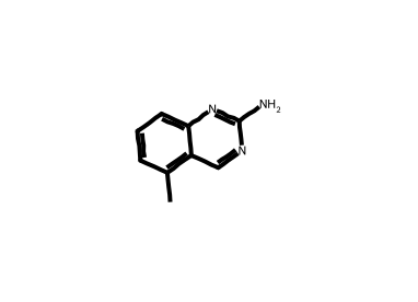 Cc1cccc2nc(N)ncc12